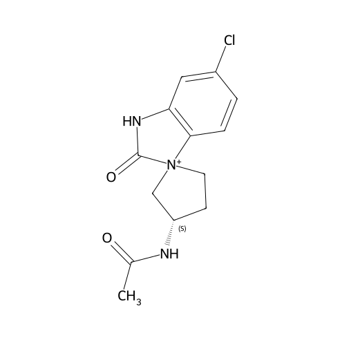 CC(=O)N[C@H]1CC[N+]2(C1)C(=O)Nc1cc(Cl)ccc12